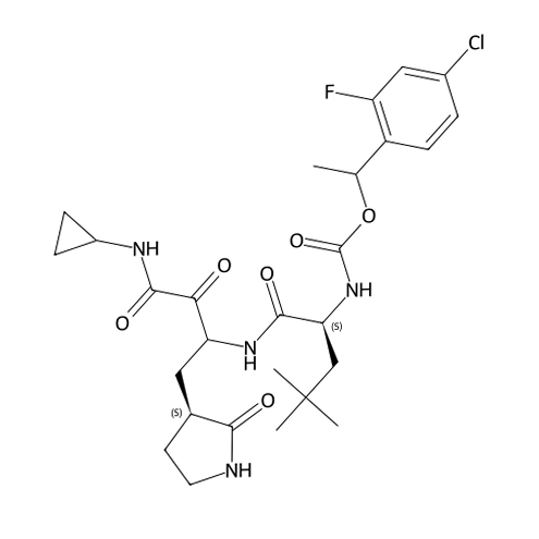 CC(OC(=O)N[C@@H](CC(C)(C)C)C(=O)NC(C[C@@H]1CCNC1=O)C(=O)C(=O)NC1CC1)c1ccc(Cl)cc1F